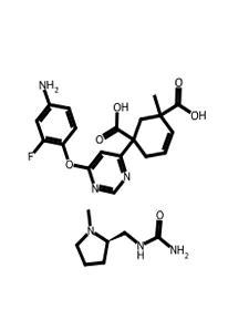 CC1(C(=O)O)C=CCC(C(=O)O)(c2cc(Oc3ccc(N)cc3F)ncn2)C1.CN1CCC[C@@H]1CNC(N)=O